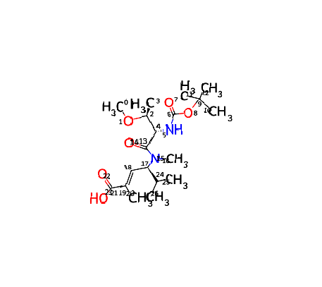 CO[C@@H](C)[C@H](NC(=O)OC(C)(C)C)C(=O)N(C)[C@H](/C=C(\C)C(=O)O)C(C)C